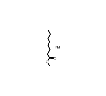 CCCCCCCC(=O)OC.[Nd]